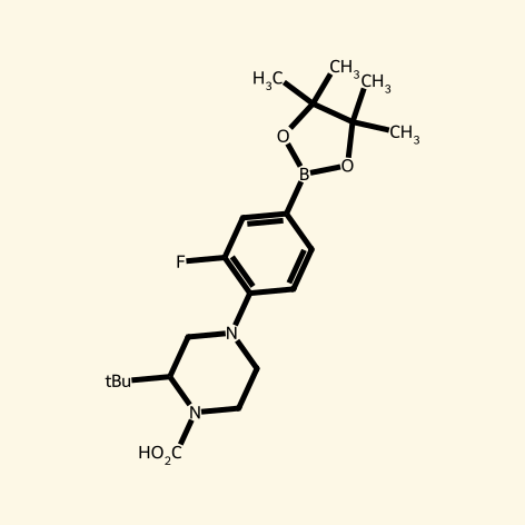 CC(C)(C)C1CN(c2ccc(B3OC(C)(C)C(C)(C)O3)cc2F)CCN1C(=O)O